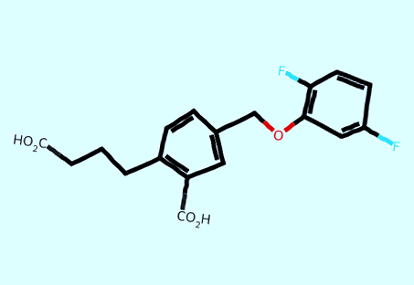 O=C(O)CCCc1ccc(COc2cc(F)ccc2F)cc1C(=O)O